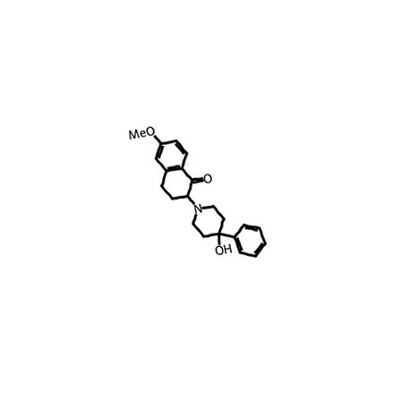 COc1ccc2c(c1)CCC(N1CCC(O)(c3ccccc3)CC1)C2=O